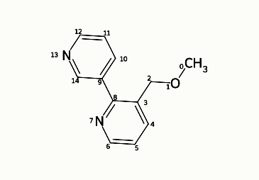 COCc1cccnc1-c1cccnc1